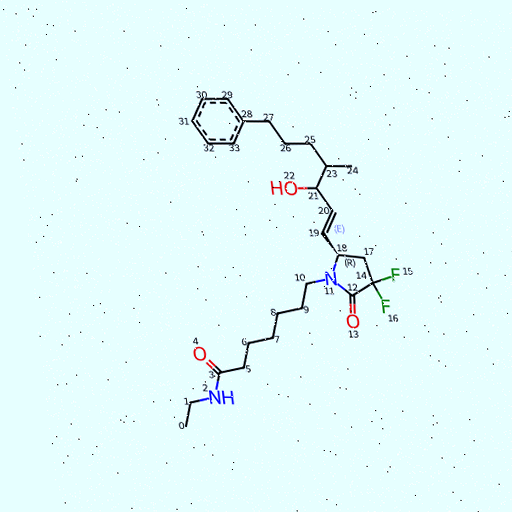 CCNC(=O)CCCCCCN1C(=O)C(F)(F)C[C@@H]1/C=C/C(O)C(C)CCCc1ccccc1